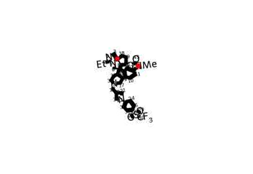 CCc1nccn1C[C@@](c1cccc(F)c1)(C1CCN(CC2CN(c3ccc(S(=O)(=O)C(F)(F)F)cc3)C2)CC1)[C@H]1CCCC1OC(=O)NC